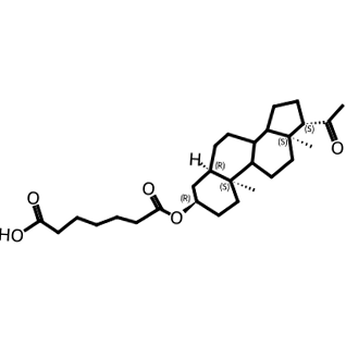 CC(=O)[C@H]1CCC2C3CC[C@@H]4C[C@H](OC(=O)CCCCCC(=O)O)CC[C@]4(C)C3CC[C@@]21C